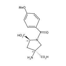 COc1ccc(C(=O)N2C[C@](N)(C(=O)O)C[C@H]2C(=O)O)cc1